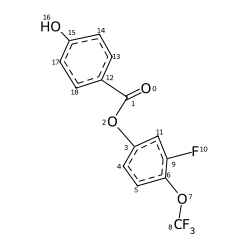 O=C(Oc1ccc(OC(F)(F)F)c(F)c1)c1ccc(O)cc1